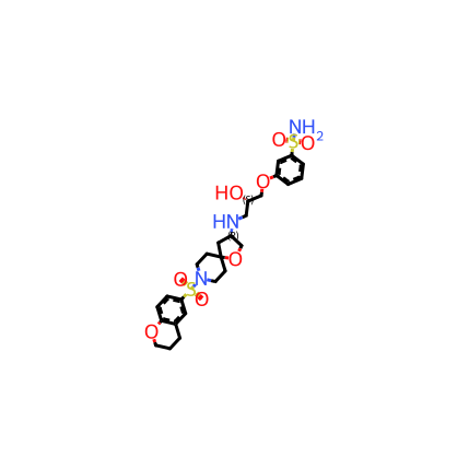 NS(=O)(=O)c1cccc(OC[C@@H](O)CN[C@H]2COC3(CCN(S(=O)(=O)c4ccc5c(c4)CCCO5)CC3)C2)c1